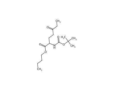 CCCCOC(=O)C(CCC(=O)CC)NC(=O)OC(C)(C)C